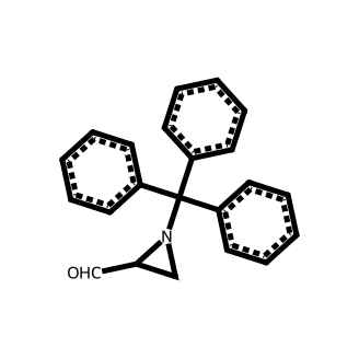 O=CC1CN1C(c1ccccc1)(c1ccccc1)c1ccccc1